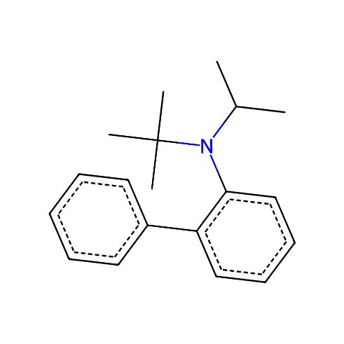 CC(C)N(c1ccccc1-c1ccccc1)C(C)(C)C